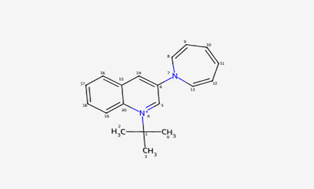 CC(C)(C)[n+]1cc(N2C=CC=CC=C2)cc2ccccc21